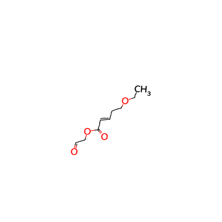 CCOCCC=CC(=O)OCC=O